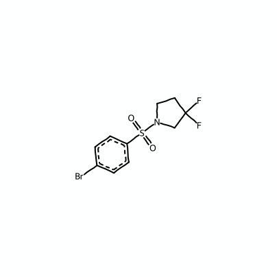 O=S(=O)(c1ccc(Br)cc1)N1CCC(F)(F)C1